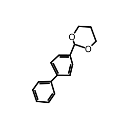 c1ccc(-c2ccc(C3OCCCO3)cc2)cc1